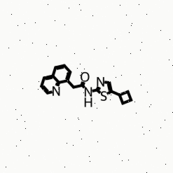 O=C(Cc1cccc2cccnc12)Nc1ncc(C2CCC2)s1